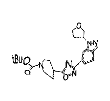 CC(C)(C)OC(=O)N1CCC(c2nc(-c3ccc4cnn([C@@H]5CCOC5)c4c3)no2)CC1